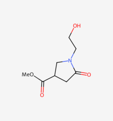 COC(=O)C1CC(=O)N(CCO)C1